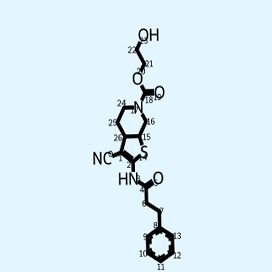 N#CC1=C(NC(=O)CCc2ccccc2)SC2CN(C(=O)OCCO)CCC12